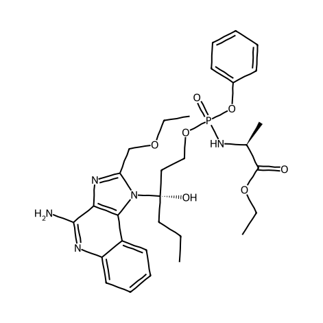 CCC[C@](O)(CCOP(=O)(N[C@@H](C)C(=O)OCC)Oc1ccccc1)n1c(COCC)nc2c(N)nc3ccccc3c21